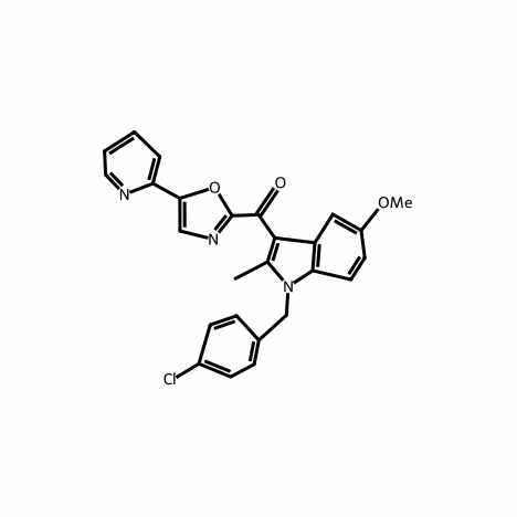 COc1ccc2c(c1)c(C(=O)c1ncc(-c3ccccn3)o1)c(C)n2Cc1ccc(Cl)cc1